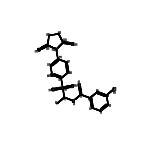 CC(OC(=O)c1cccc(Cl)c1)S(=O)(=O)c1ccc(N2C(=O)CCC2=O)cn1